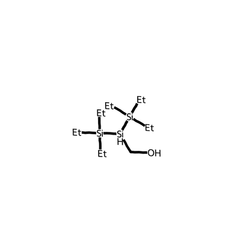 CC[Si](CC)(CC)[SiH](CO)[Si](CC)(CC)CC